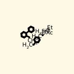 C=COC(C)=O.C=Cc1ccccc1.C=Cc1ccccc1-c1ccccc1.CCO[SiH3]